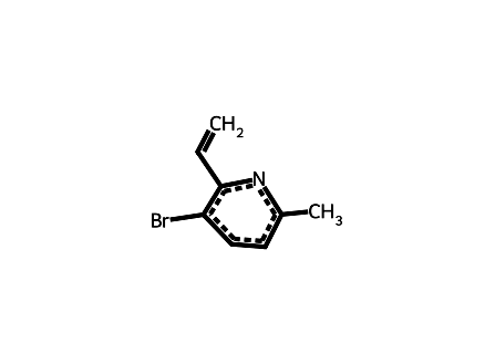 C=Cc1nc(C)ccc1Br